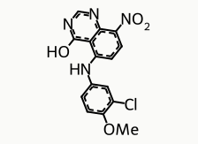 COc1ccc(Nc2ccc([N+](=O)[O-])c3ncnc(O)c23)cc1Cl